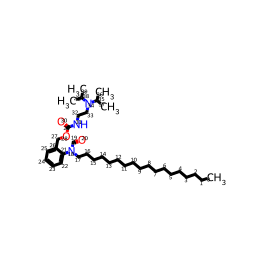 CCCCCCCCCCCCCCCCCCN(C=O)c1ccccc1COC(=O)NCCN(C(C)C)C(C)C